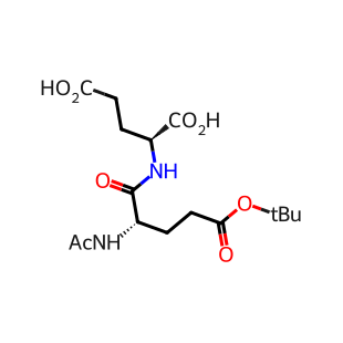 CC(=O)N[C@@H](CCC(=O)OC(C)(C)C)C(=O)N[C@@H](CCC(=O)O)C(=O)O